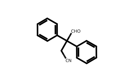 N#CCC(C=O)(c1ccccc1)c1ccccc1